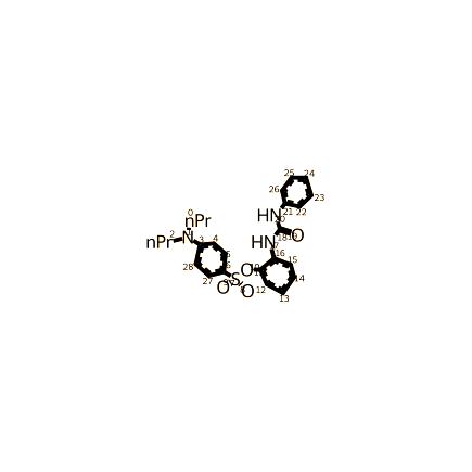 CCCN(CCC)c1ccc(S(=O)(=O)Oc2ccccc2NC(=O)Nc2ccccc2)cc1